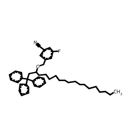 CCCCCCCCCCCCCCCCC(CC(c1ccccc1)(c1ccccc1)c1ccccc1)OCc1cc(F)cc(C#N)c1